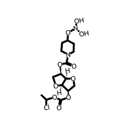 CC(Cl)OC(=O)O[C@@H]1CO[C@H]2[C@@H]1OC[C@H]2OC(=O)N1CCC(ON(O)O)CC1